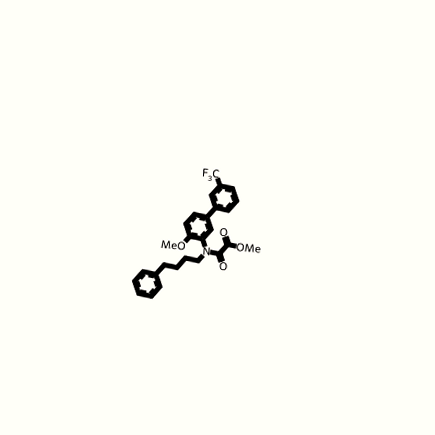 COC(=O)C(=O)N(CCCCc1ccccc1)c1cc(-c2cccc(C(F)(F)F)c2)ccc1OC